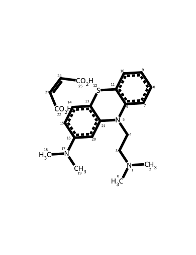 CN(C)CCN1c2ccccc2Sc2ccc(N(C)C)cc21.O=C(O)/C=C\C(=O)O